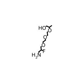 CC(CO)OCCOCCOCC(F)CN